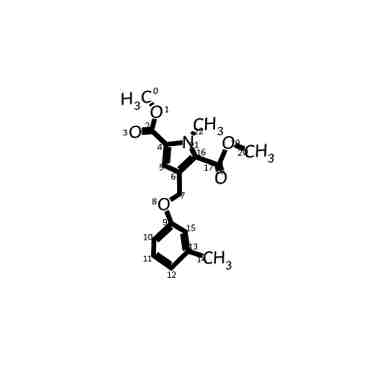 COC(=O)c1cc(COc2cccc(C)c2)c(C(=O)OC)n1C